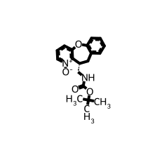 CC(C)(C)OC(=O)NC[C@H]1Cc2ccccc2Oc2ccc[n+]([O-])c21